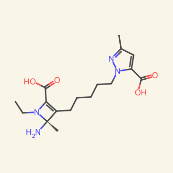 CCN1C(C(=O)O)=C(CCCCCn2nc(C)cc2C(=O)O)[C@]1(C)N